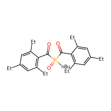 CCCCP(=O)(C(=O)c1c(CC)cc(CC)cc1CC)C(=O)c1c(CC)cc(CC)cc1CC